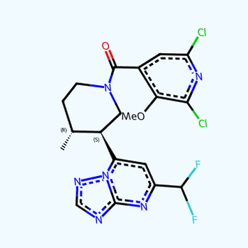 COc1c(C(=O)N2CC[C@@H](C)[C@H](c3cc(C(F)F)nc4ncnn34)C2)cc(Cl)nc1Cl